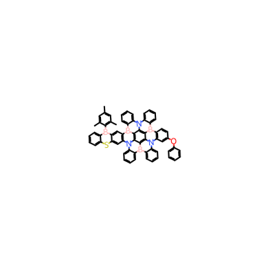 Cc1cc(C)c(B2c3ccccc3Sc3cc4c(cc32)B2c3ccccc3N3c5ccccc5B5c6ccc(Oc7ccccc7)cc6N6c7ccccc7B7c8ccccc8N4c4c2c3c5c6c47)c(C)c1